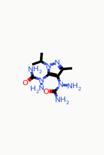 Cc1nn(C(C)C)c(N(N)C(N)=O)c1N(N)C(N)=O